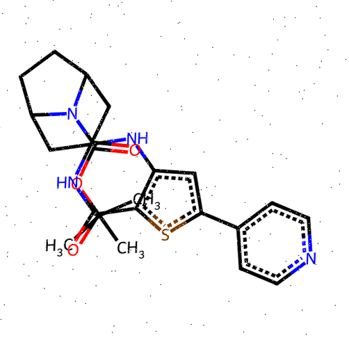 CC(C)(C)OC(=O)N1C2CCC1CC1(C2)NC(=O)c2sc(-c3ccncc3)cc2N1